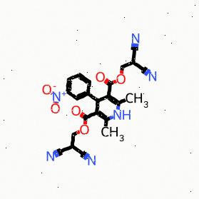 CC1=C(C(=O)OCC(C#N)C#N)C(c2cccc([N+](=O)[O-])c2)C(C(=O)OCC(C#N)C#N)=C(C)N1